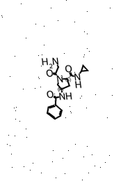 NCC(=O)N1C[C@H](NC(=O)c2ccccc2)C[C@H]1C(=O)NC1CC1